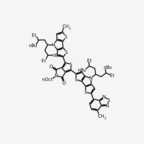 CCCCCCCCN1C(=O)c2c(-c3cc4c(s3)c3sc(C)cc3n4C(CC(CC)CCCC)CC(CC)CCCC)sc(-c3cc4c(s3)c3sc(-c5ccc(C)c6nsnc56)cc3n4C(CC(CC)CCCC)CC(CC)CCCC)c2C1=O